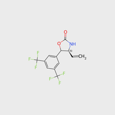 C=C[C@@H]1NC(=O)OC1c1cc(C(F)(F)F)cc(C(F)(F)F)c1